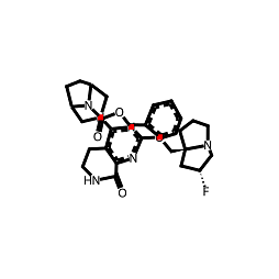 O=C1NCCc2c1nc(OC[C@@]13CCCN1C[C@H](F)C3)nc2N1CC2CCC(C1)N2C(=O)OCc1ccccc1